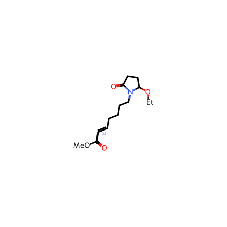 CCOC1CCC(=O)N1CCCC/C=C/C(=O)OC